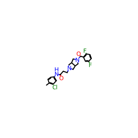 Cc1ccc(NC(=O)CCN2CC3CN(C(=O)c4cc(F)ccc4F)CC3C2)cc1Cl